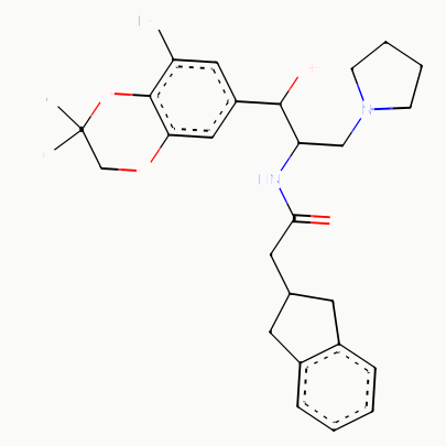 Cc1cc(C(O)C(CN2CCCC2)NC(=O)CC2Cc3ccccc3C2)cc2c1OC(C)(C)CO2